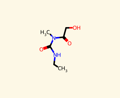 CCNC(=O)N(C)C(=O)CO